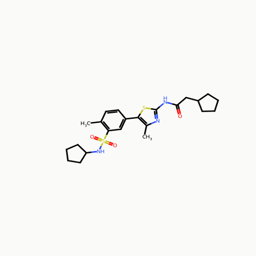 Cc1ccc(-c2sc(NC(=O)CC3CCCC3)nc2C)cc1S(=O)(=O)NC1CCCC1